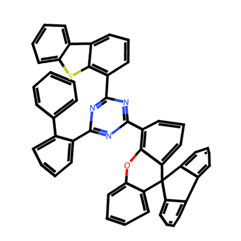 c1ccc(-c2ccccc2-c2nc(-c3cccc4c3Oc3ccccc3C43c4ccccc4-c4ccccc43)nc(-c3cccc4c3sc3ccccc34)n2)cc1